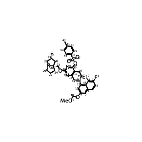 CCc1c(F)ccc2cc(OCOC)cc(N3CCc4c(nc(OC[C@@]56CCCN5C[C@H](F)C6)nc4OS(=O)(=O)c4ccc(C)cc4)C3)c12